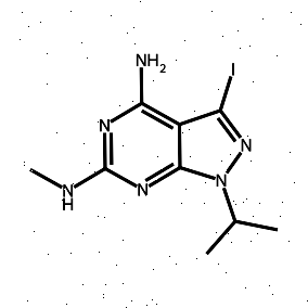 CNc1nc(N)c2c(I)nn(C(C)C)c2n1